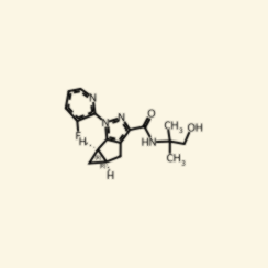 CC(C)(CO)NC(=O)c1nn(-c2ncccc2F)c2c1C[C@H]1C[C@@H]21